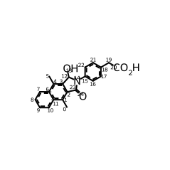 Cc1c2c(c(C)c3ccccc13)C(O)N(c1ccc(CC(=O)O)cc1)C2=O